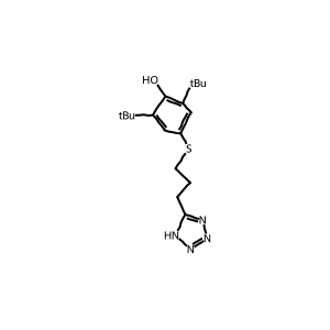 CC(C)(C)c1cc(SCCCc2nnn[nH]2)cc(C(C)(C)C)c1O